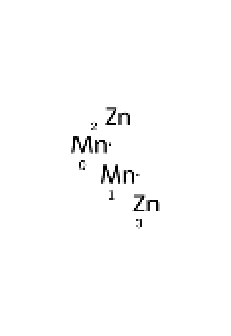 [Mn].[Mn].[Zn].[Zn]